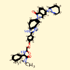 CN(C)C(=O)C(NC(=O)COc1ccc(-c2nc3cc(N4Cc5cc(N6CCCCC6)ccc5C4=O)ccc3[nH]2)cc1)c1ccccc1